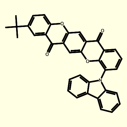 CC(C)(C)c1ccc2oc3cc4c(=O)c5cccc(-n6c7ccccc7c7ccccc76)c5oc4cc3c(=O)c2c1